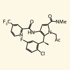 CNC(=O)c1cc(NC(=O)c2cc(C(F)(F)F)ccn2)c([C@@H](C)c2cc(F)ccc2Cl)n1CC(C)=O